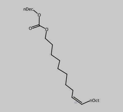 CCCCCCCC/C=C\CCCCCCCCOC(=O)OCCCCCCCCCC